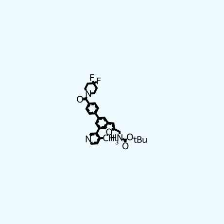 Cc1ccncc1-c1cc(-c2ccc(C(=O)N3CCC(F)(F)CC3)cc2)cc2cc(CNC(=O)OC(C)(C)C)oc12